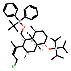 C/C(=C/CBr)C1[C@@H](CO[Si](c2ccccc2)(c2ccccc2)C(C)(C)C)[C@H]2[C@@H](C[C@@H]1C)[C@@H](O[Si](C(C)C)(C(C)C)C(C)C)CC[C@@H]2C